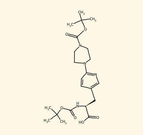 CC(C)(C)OC(=O)N[C@@H](Cc1ccc(N2CCN(C(=O)OC(C)(C)C)CC2)nc1)C(=O)O